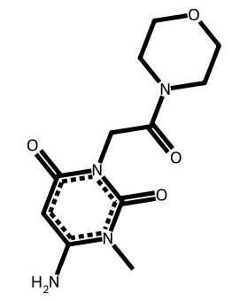 Cn1c(N)cc(=O)n(CC(=O)N2CCOCC2)c1=O